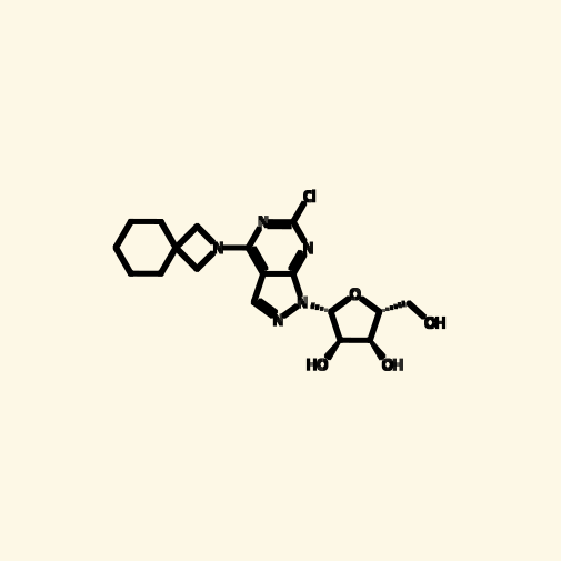 OC[C@H]1O[C@@H](n2ncc3c(N4CC5(CCCCC5)C4)nc(Cl)nc32)[C@H](O)[C@@H]1O